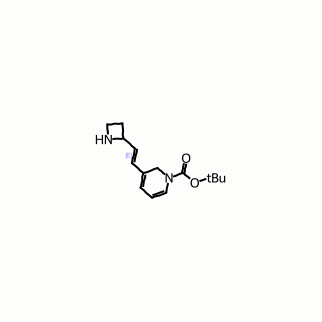 CC(C)(C)OC(=O)N1C=CC=C(/C=C/C2CCN2)C1